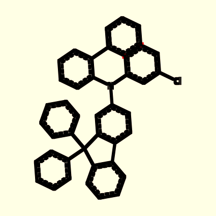 Clc1cccc(N(c2ccc3c(c2)C(c2ccccc2)(c2ccccc2)c2ccccc2-3)c2ccccc2-c2ccccc2)c1